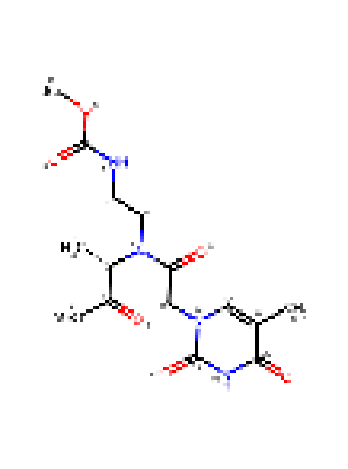 COC(=O)[C@H](C)N(CCNC(=O)OC(C)(C)C)C(=O)Cn1cc(C)c(=O)[nH]c1=O